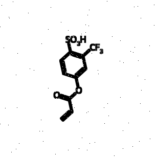 C=CC(=O)Oc1ccc(S(=O)(=O)O)c(C(F)(F)F)c1